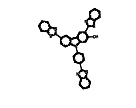 Oc1cc2c(cc1-c1nc3ccccc3s1)c1cc(-c3nc4ccccc4s3)ccc1n2-c1ccc(-c2nc3ccccc3s2)cc1